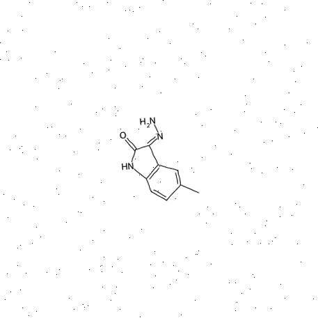 Cc1ccc2c(c1)/C(=N/N)C(=O)N2